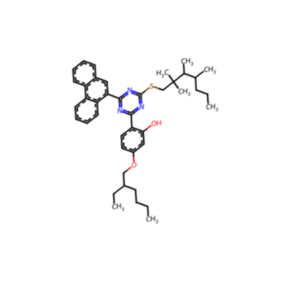 CCCCC(CC)COc1ccc(-c2nc(SCC(C)(C)C(C)C(C)CCC)nc(-c3cc4ccccc4c4ccccc34)n2)c(O)c1